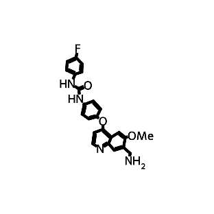 COc1cc2c(Oc3ccc(NC(=O)Nc4ccc(F)cc4)cc3)ccnc2cc1CN